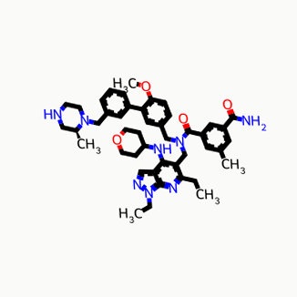 CCc1nc2c(cnn2CC)c(NC2CCOCC2)c1CN(Cc1ccc(OC)c(-c2cccc(CN3CCNC[C@@H]3C)c2)c1)C(=O)c1cc(C)cc(C(N)=O)c1